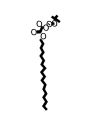 CCCCCCCCCCCCCCCCCCOC(=O)C(=O)OOOC(C)(C)C